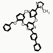 CN1CCN=C1c1cccc(Oc2cc(Oc3cc(C#N)ccc3OCc3ccccc3)nc(-c3ccc(-c4ccccc4)cc3)n2)c1